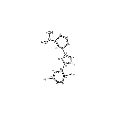 OC(O)c1cccc(-c2noc(-c3cc(F)ccc3F)n2)c1